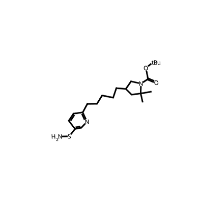 CC(C)(C)OC(=O)N1CC(CCCCCc2ccc(SN)cn2)CC1(C)C